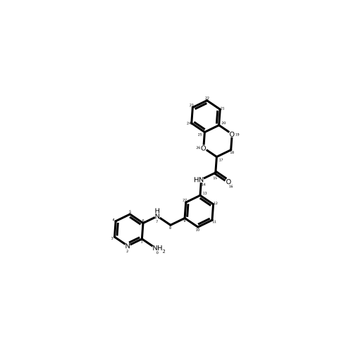 Nc1ncccc1NCc1cccc(NC(=O)C2COc3ccccc3O2)c1